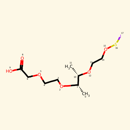 C[C@H](OCCOCC(=O)O)[C@H](C)OCCOSI